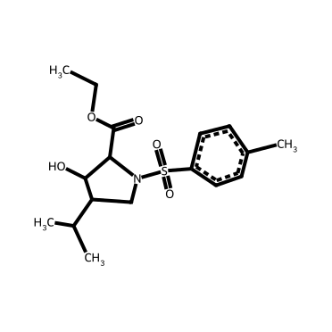 CCOC(=O)C1C(O)C(C(C)C)CN1S(=O)(=O)c1ccc(C)cc1